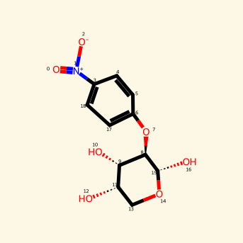 O=[N+]([O-])c1ccc(O[C@@H]2[C@@H](O)[C@@H](O)CO[C@H]2O)cc1